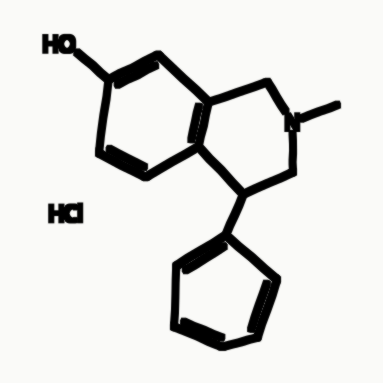 CN1Cc2cc(O)ccc2C(c2ccccc2)C1.Cl